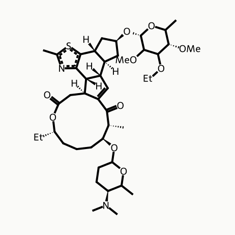 CCOC1C(OC)[C@H](O[C@H]2C[C@H]3[C@@H]4C=C5C(=O)[C@H](C)[C@@H](OC6CC[C@H](N(C)C)C(C)O6)CCC[C@H](CC)OC(=O)C[C@H]5[C@@H]4c4nc(C)sc4[C@@H]3C2)OC(C)[C@@H]1OC